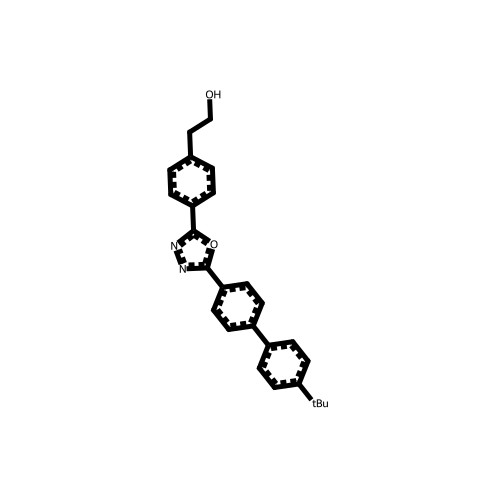 CC(C)(C)c1ccc(-c2ccc(-c3nnc(-c4ccc(CCO)cc4)o3)cc2)cc1